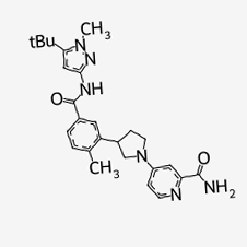 Cc1ccc(C(=O)Nc2cc(C(C)(C)C)n(C)n2)cc1C1CCN(c2ccnc(C(N)=O)c2)C1